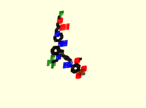 COc1cc(S(C)(=O)=O)ccc1NCC#Cc1cc2c(NC3CCN(CC(O)COCF)CC3)cccc2n1CC(F)(F)F